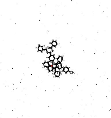 FC(F)(F)c1ccc(-c2ccc3c(c2)c2ccccc2n3-c2ccc(-c3nc(-c4ccccc4)nc(-c4ccccc4)n3)cc2-c2cnccc2-c2nc(-c3ccccc3)nc(-c3ccccc3)n2)c(C(F)(F)F)c1